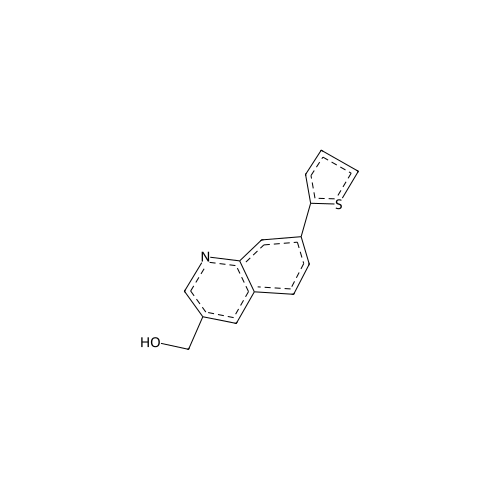 OCc1cnc2cc(-c3cccs3)ccc2c1